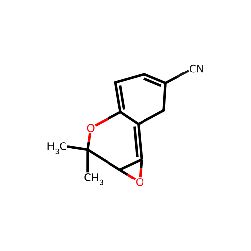 CC1(C)OC2=CC=C(C#N)CC2=C2OC21